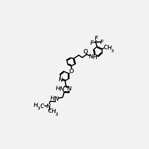 Cc1ccc(NC(=O)CCc2cccc(Oc3ccnc(-c4ncc(CNCCN(C)C)[nH]4)c3)c2)cc1C(F)(F)F